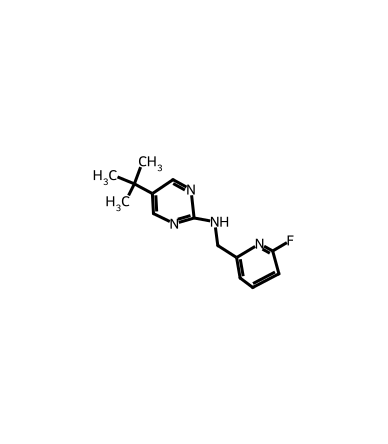 CC(C)(C)c1cnc(NCc2cccc(F)n2)nc1